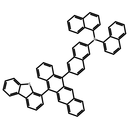 c1ccc2cc3c(-c4cccc5c4sc4ccccc45)c4ccccc4c(-c4ccc5cc(N(c6cccc7ccccc67)c6cccc7ccccc67)ccc5c4)c3cc2c1